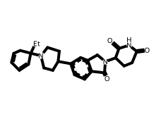 CCC1(N2CCC(c3ccc4c(c3)CN(C3CCC(=O)NC3=O)C4=O)CC2)C=CC=CC1